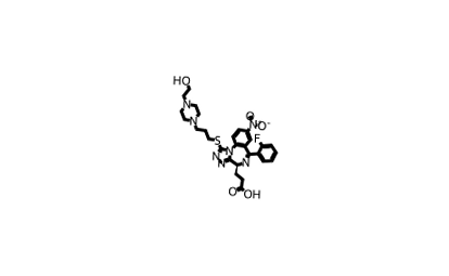 O=C(O)CC[C@@H]1N=C(c2ccccc2F)c2cc([N+](=O)[O-])ccc2-n2c(SCCCN3CCN(CCO)CC3)nnc21